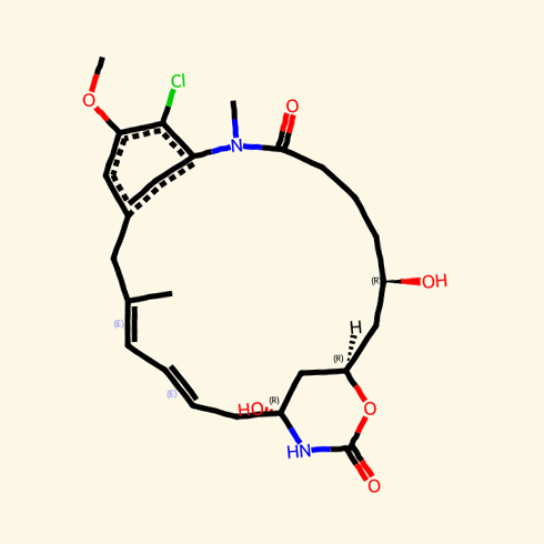 COc1cc2cc(c1Cl)N(C)C(=O)CCC[C@@H](O)C[C@@H]1C[C@](O)(C/C=C/C=C(\C)C2)NC(=O)O1